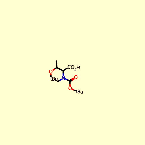 CC(OC(C)(C)C)C(C(=O)O)N(C)C(=O)OC(C)(C)C